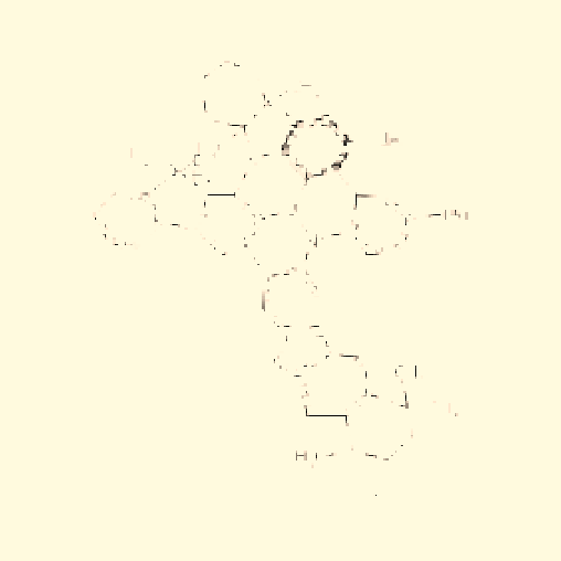 CC(C)(C)c1ccc(N2B3c4cc(C(C)(C)C)cc5c4N(c4c3c(cc3c4C(C)(C)c4ccccc4-3)-c3cc4sc6cc7c(cc6c4cc32)C(C)(C)CCC7(C)C)C2(C)CCCCC52C)c(-c2ccccc2)c1